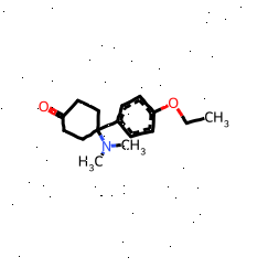 CCOc1ccc(C2(N(C)C)CCC(=O)CC2)cc1